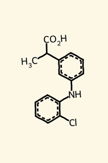 CC(C(=O)O)c1cccc(Nc2ccccc2Cl)c1